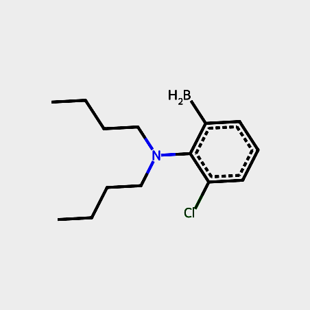 Bc1cccc(Cl)c1N(CCCC)CCCC